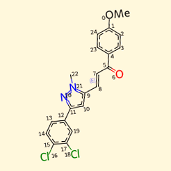 COc1ccc(C(=O)/C=C/c2cc(-c3ccc(Cl)c(Cl)c3)nn2C)cc1